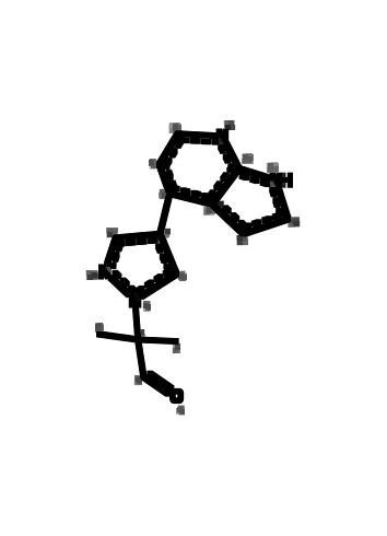 CC(C)(C=O)n1cc(-c2ccnc3[nH]ccc23)cn1